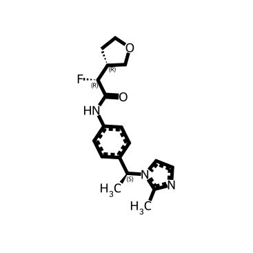 Cc1nccn1[C@@H](C)c1ccc(NC(=O)[C@H](F)[C@@H]2CCOC2)cc1